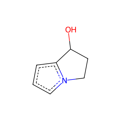 OC1CCn2cccc21